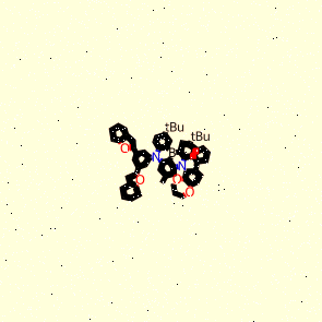 Cc1cc2c3c(c1)N(c1c(-c4ccccc4)ccc4c1OCCCO4)c1ccc(C(C)(C)C)cc1B3c1cc(C(C)(C)C)ccc1N2c1cc(-c2cc3ccccc3o2)cc(-c2cc3ccccc3o2)c1